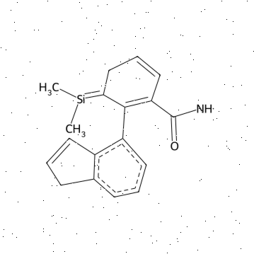 C[Si](C)=C1CC=CC(C([NH])=O)=C1c1cccc2c1C=CC2